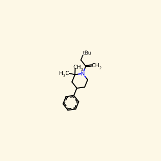 C=C(CC(C)(C)C)N1CCC(c2ccccc2)CC1(C)C